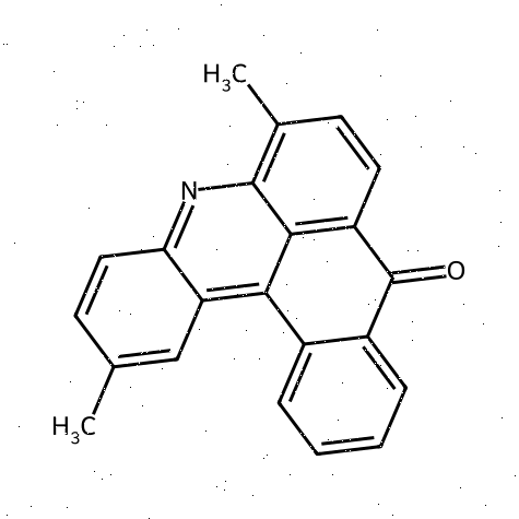 Cc1ccc2nc3c(C)ccc4c3c(c2c1)-c1ccccc1C4=O